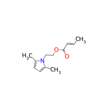 C/C=C/C(=O)OCCn1c(C)ccc1C